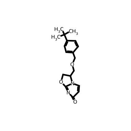 CC(C)(C)c1ccc(COCC2COc3nc(=O)ccn32)cc1